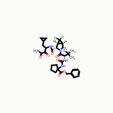 CC(C)(C)[C@H](NC(=O)NC1(C(=O)OCc2ccccc2)CCCC1)C(=O)N1C[C@H]2[C@@H]([C@H]1C(=O)NC(CC1CC1)C(=O)C(N)=O)C2(Cl)Cl